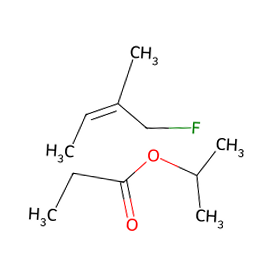 CC=C(C)CF.CCC(=O)OC(C)C